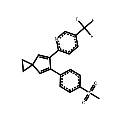 CS(=O)(=O)c1ccc(C2=CC3(C=C2c2ccc(C(F)(F)F)cn2)CC3)cc1